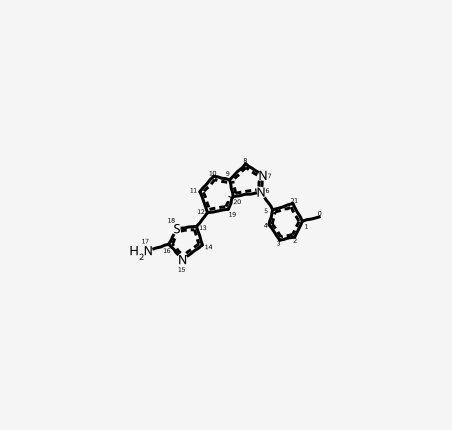 Cc1cccc(-n2ncc3ccc(-c4cnc(N)s4)cc32)c1